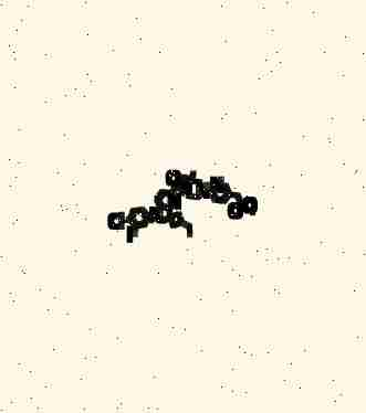 CCC1CC2(C1)CN(c1ccc(Cl)c(F)c1)c1ccc(C(=O)N3CCN(c4ccc(CC(=O)OC)cn4)CC3(C)C)nc12